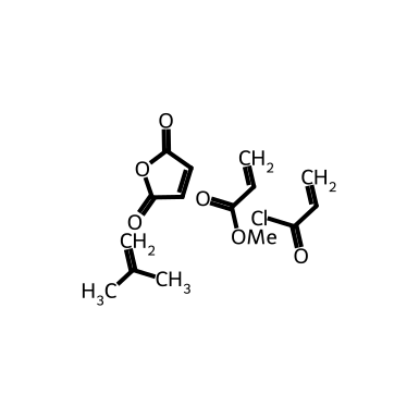 C=C(C)C.C=CC(=O)Cl.C=CC(=O)OC.O=C1C=CC(=O)O1